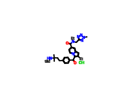 CCc1cc2cc(C(=O)N(CC)Cc3nnn(C)n3)ccn2c1C(=O)c1ccc(CCC(C)(C)NC(C)(C)C)cc1.Cl